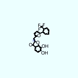 O=C1/C(=C/c2ccc(-c3ccccc3C(F)(F)F)o2)Oc2c1ccc(O)c2O